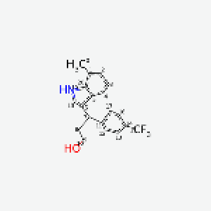 Cc1cccc2c(C(CCO)c3ccc(C(F)(F)F)cc3)c[nH]c12